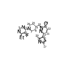 CCc1ncnc(N2CCC(Cn3nc(-c4sc(C)nc4C)ccc3=O)CC2)c1F